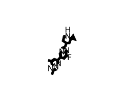 Cc1cn2nc(-c3cc(F)c4nc(C5CCNC6(CC6)C5)cn4c3)cc(C)c2n1